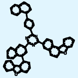 c1ccc2c(-c3ccc(-c4nc(-c5cc(-c6cccc7oc8ccccc8c67)c6ccccc6c5)nc(-c5ccc6c(ccc7oc8ccccc8c76)c5)n4)cc3)cccc2c1